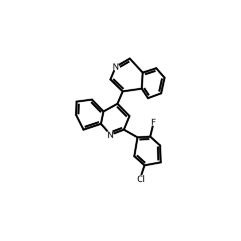 Fc1ccc(Cl)cc1-c1cc(-c2cncc3ccccc23)c2ccccc2n1